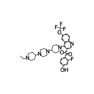 CCN1CCC(N2CCN(C3CCN(c4c(S(=O)(=O)c5ccc(O)cc5F)cnc5ccc(OC(F)(F)F)cc45)CC3)CC2)CC1